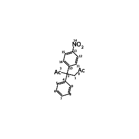 CC(=O)CC(C(C)=O)(c1ccccc1)c1ccc([N+](=O)[O-])cc1